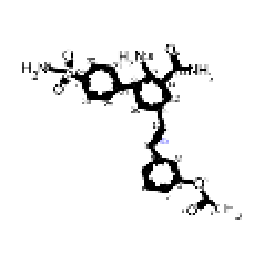 CC(=O)Oc1cccc(/C=C/c2cc(C(N)=O)c(N)c(-c3ccc(S(N)(=O)=O)cc3)c2)c1